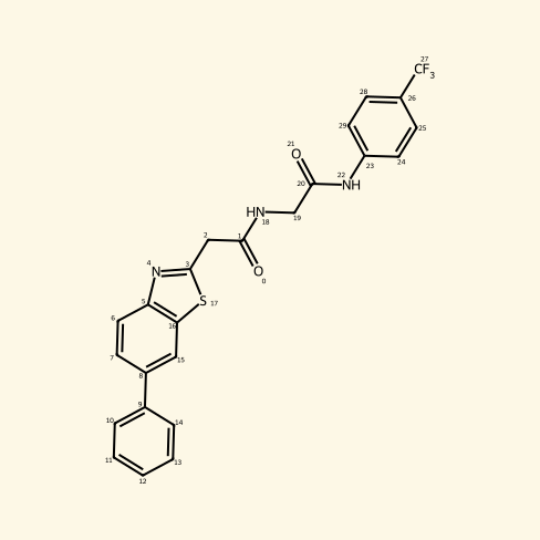 O=C(Cc1nc2ccc(-c3ccccc3)cc2s1)NCC(=O)Nc1ccc(C(F)(F)F)cc1